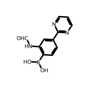 O=CNc1cc(-c2ncccn2)ccc1B(O)O